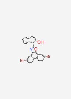 Oc1ccc2ccccc2c1-c1nc2c3cc(Br)ccc3c3ccc(Br)cc3c2o1